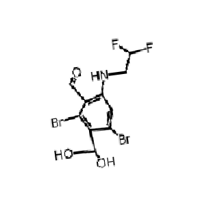 O=Cc1c(NCC(F)F)cc(Br)c(C(O)O)c1Br